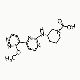 COc1nnccc1-c1ccnc(N[C@H]2CCCN(C(=O)O)C2)n1